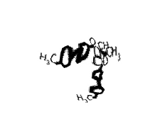 CCC1CCC(c2ccc(C(=O)OC(C)C(C)OC(=O)c3ccc(C4CCC(CC)CC4)cc3)cc2)CC1